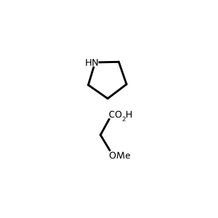 C1CCNC1.COCC(=O)O